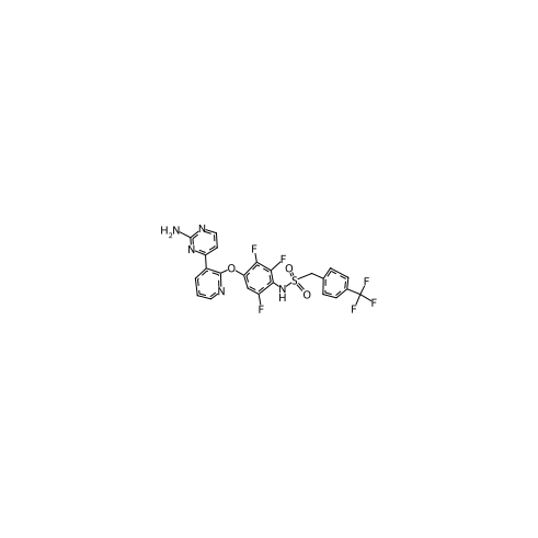 Nc1nccc(-c2cccnc2Oc2cc(F)c(NS(=O)(=O)Cc3ccc(C(F)(F)F)cc3)c(F)c2F)n1